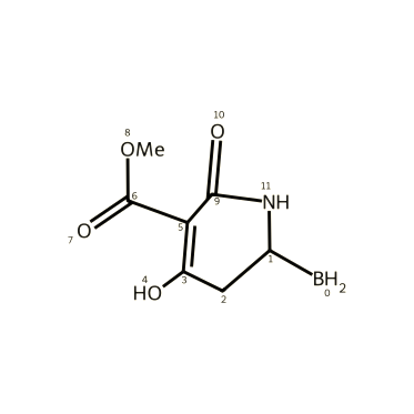 BC1CC(O)=C(C(=O)OC)C(=O)N1